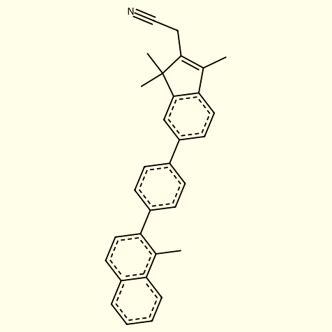 CC1=C(CC#N)C(C)(C)c2cc(-c3ccc(-c4ccc5ccccc5c4C)cc3)ccc21